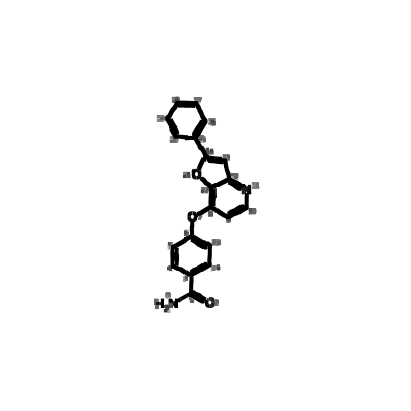 NC(=O)c1ccc(Oc2ccnc3cc(-c4ccccc4)oc23)cc1